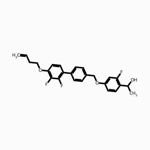 C=CCCOc1ccc(-c2ccc(COc3ccc(C(C)O)c(F)c3)cc2)c(F)c1F